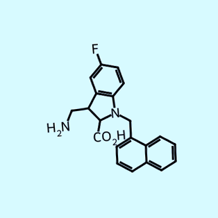 NCC1c2cc(F)ccc2N(Cc2cccc3ccccc23)C1C(=O)O